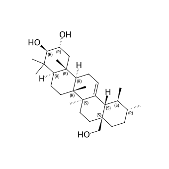 C[C@H]1[C@H](C)CC[C@]2(CO)CC[C@]3(C)C(=CC[C@@H]4[C@@]5(C)C[C@@H](O)[C@H](O)C(C)(C)[C@@H]5CC[C@]43C)[C@H]12